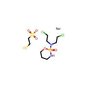 O=P1(N(CCCl)CCCl)NCCCO1.O=S(=O)([O-])CCS.[Na+]